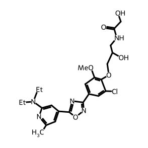 CCN(CC)c1cc(-c2nc(-c3cc(Cl)c(OCC(O)CNC(=O)CO)c(OC)c3)no2)cc(C)n1